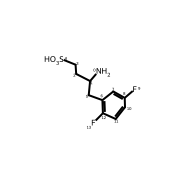 NC(CCS(=O)(=O)O)Cc1cc(F)ccc1F